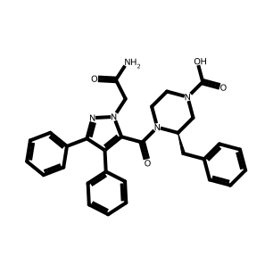 NC(=O)Cn1nc(-c2ccccc2)c(-c2ccccc2)c1C(=O)N1CCN(C(=O)O)C[C@H]1Cc1ccccc1